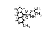 Cc1cc2c(S(=O)(=O)C(=N)CC(C)C)c3c(cc2cn1)CCC3